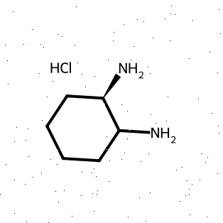 Cl.NC1CCCC[C@H]1N